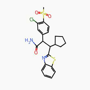 CS(=O)(=O)c1ccc(C(C(N)=O)C(c2nc3ccccc3s2)C2CCCC2)cc1Cl